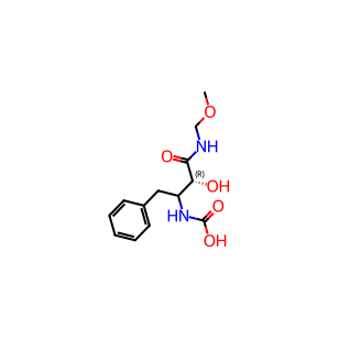 COCNC(=O)[C@H](O)C(Cc1ccccc1)NC(=O)O